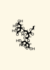 CCOC(=O)C(O)(CC(=O)OC(CC(=O)O)(CC(=O)O)C(=O)O)CC(=O)OC(CC(=O)O)(CC(=O)O)C(=O)O